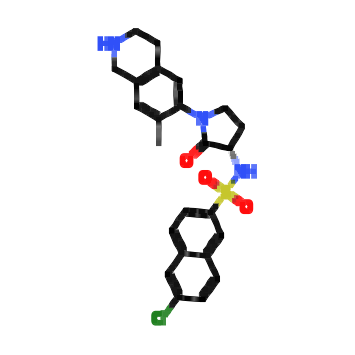 Cc1cc2c(cc1N1CC[C@H](NS(=O)(=O)c3ccc4cc(Cl)ccc4c3)C1=O)CCNC2